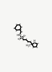 C[C@]1(CCCCS(=O)(=O)NCC2CCCCC2)CCCN1